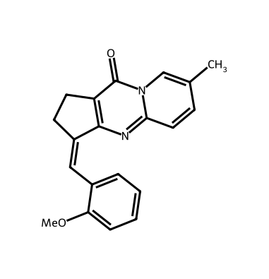 COc1ccccc1/C=C1/CCc2c1nc1ccc(C)cn1c2=O